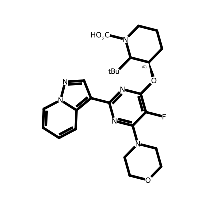 CC(C)(C)C1[C@H](Oc2nc(-c3cnn4ccccc34)nc(N3CCOCC3)c2F)CCCN1C(=O)O